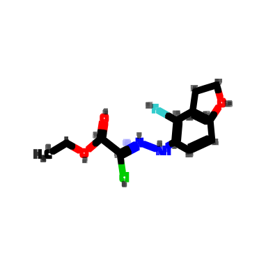 CCOC(=O)/C(Cl)=N/Nc1ccc2c(c1F)CCO2